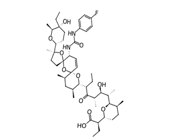 CCC(C(=O)[C@@H](C)[C@@H](O)[C@H](C)[C@@H]1O[C@@H]([C@@H](CC)C(=O)O)CC[C@@H]1C)[C@H]1O[C@]2(C=C[C@@H](NC(=O)Nc3ccc(F)cc3)[C@]3(CC[C@@](C)([C@H]4CC[C@](O)(CC)[C@H](C)O4)O3)O2)[C@H](C)C[C@@H]1C